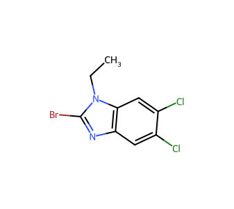 CCn1c(Br)nc2cc(Cl)c(Cl)cc21